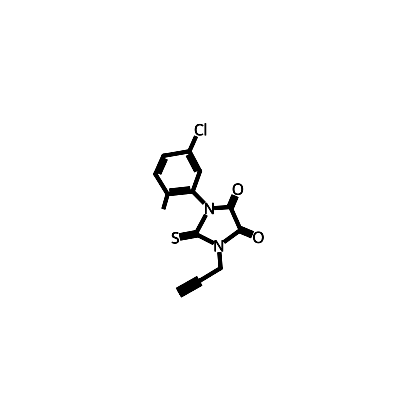 C#CCN1C(=O)C(=O)N(c2cc(Cl)ccc2C)C1=S